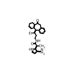 CC/C(CCNC(=O)/C(C)=c1\[nH]cc\c1=C\N)=C1\C2=C(CCC=C2)C(=O)Cc2ccccc21